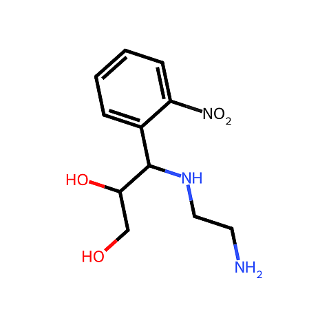 NCCNC(c1ccccc1[N+](=O)[O-])C(O)CO